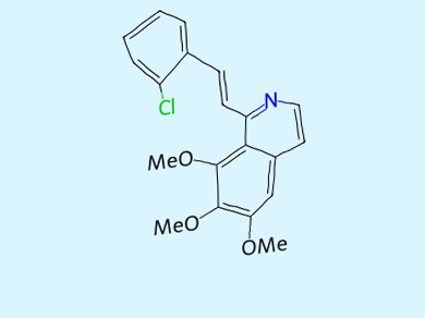 COc1cc2ccnc(/C=C/c3ccccc3Cl)c2c(OC)c1OC